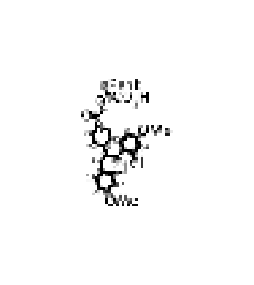 CCCCCC(OCC(=O)N1CCC(C(Cc2ccc(OC)cc2Cl)Cc2ccc(OC)cc2Cl)CC1)C(=O)O